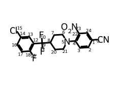 N#Cc1ccc(N2CCC(C(F)(F)c3cc(Cl)ccc3F)CC2)c([N+](=O)[O-])c1